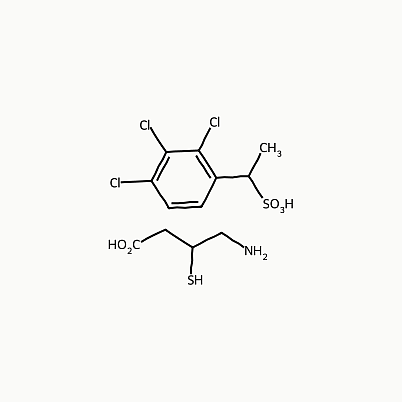 CC(c1ccc(Cl)c(Cl)c1Cl)S(=O)(=O)O.NCC(S)CC(=O)O